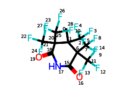 CC1(C(F)(F)F)C(C(F)(F)F)(C(F)(F)F)C(=O)NC(=O)C1(C(F)(F)F)C(F)(F)F